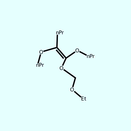 CCCOC(CCC)=C(OCCC)OCOCC